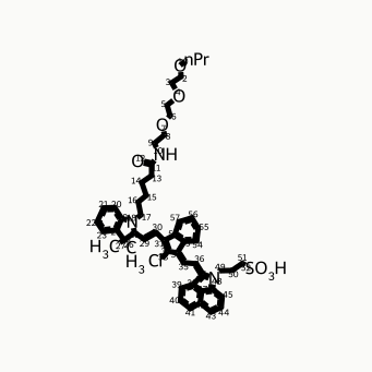 CCCOCCOCCOCCNC(=O)CCCCCN1c2ccccc2C(C)(C)C1/C=C/C1=C(Cl)C(=C/C=c2\c3cccc4cccc(c43)n2CCCS(=O)(=O)O)/c2ccccc21